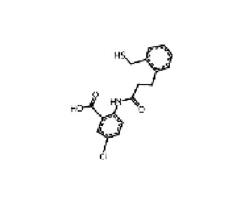 O=C(CCc1ccccc1CS)Nc1ccc(Cl)cc1C(=O)O